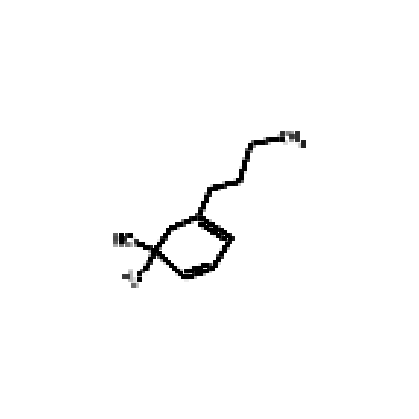 CCCCC1=CC=CC(C)(O)C1